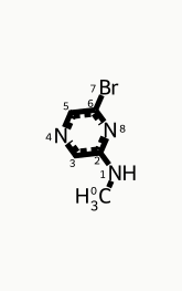 CNc1cncc(Br)n1